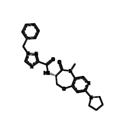 CN1C(=O)[C@@H](NC(=O)c2ncn(Cc3ccccc3)n2)COc2cc(N3CCCC3)ncc21